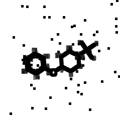 CC(C)(C)N1CCC(Oc2ccncc2)CC1